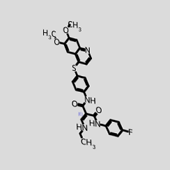 CCN/C=C(\C(=O)Nc1ccc(F)cc1)C(=O)Nc1ccc(Sc2ccnc3cc(OC)c(OC)cc23)cc1